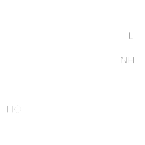 CCNCCC#CO